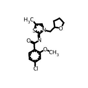 COc1cc(Cl)ccc1C(=O)/N=c1\sc(C)cn1CC1CCCO1